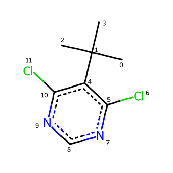 CC(C)(C)c1c(Cl)ncnc1Cl